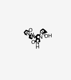 O=C1NCc2nc(N3CCC4C[C@]43CO)cc(-n3ccc(N4CCCC4=O)n3)c21